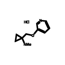 CNC1(COc2cccnc2)CC1.Cl